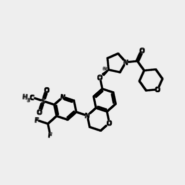 CS(=O)(=O)c1ncc(N2CCOc3ccc(O[C@H]4CCN(C(=O)C5CCOCC5)C4)cc32)cc1C(F)F